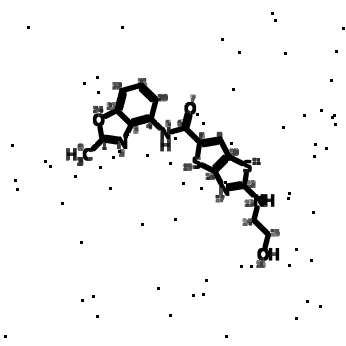 Cc1nc2c(NC(=O)c3cc4sc(NCCO)nc4s3)cccc2o1